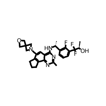 Cc1nc(N[C@H](C)c2cccc(C(F)(F)[C@@H](C)O)c2F)c2cc(N3CC4(COC4)C3)c3c(c2n1)CCC3